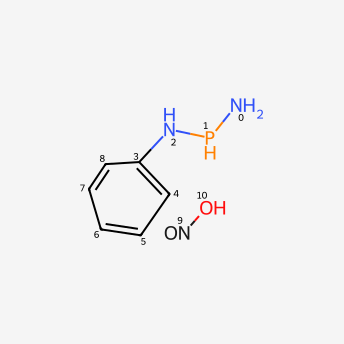 NPNc1ccccc1.O=NO